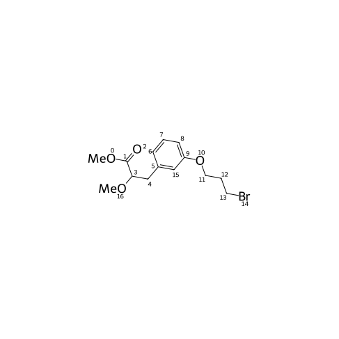 COC(=O)C(Cc1cccc(OCCCBr)c1)OC